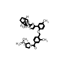 Cc1ccc(OCc2ccc(C(=O)N3CC[C@@H](N(C)C)C3)cc2C)c(-c2csc(N3C[C@H]4CC[C@@H](C3)[C@H]4C(=O)O)n2)c1